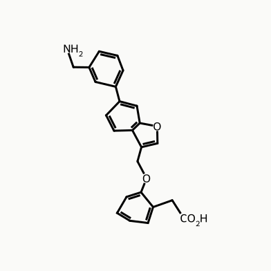 NCc1cccc(-c2ccc3c(COc4ccccc4CC(=O)O)coc3c2)c1